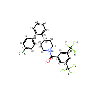 O=C(c1cc(C(F)(F)F)cc(C(F)(F)F)c1)N1CC[C@@H](c2ccccc2)[C@@H](c2cccc(Cl)c2)C1